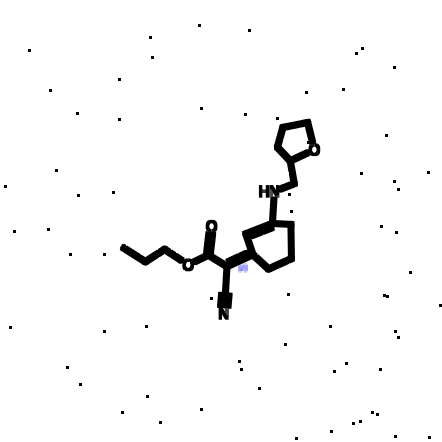 CCCOC(=O)/C(C#N)=C1\C=C(NCC2CCCO2)CCC1